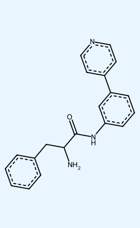 NC(Cc1ccccc1)C(=O)Nc1cccc(-c2ccncc2)c1